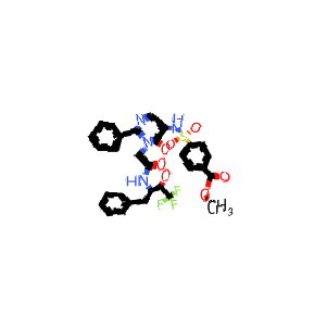 COC(=O)c1ccc(S(=O)(=O)Nc2cnc(-c3ccccc3)n(CC(=O)NC(Cc3ccccc3)C(=O)C(F)(F)F)c2=O)cc1